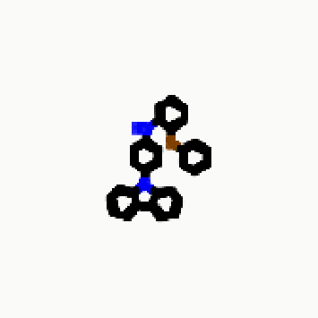 c1ccc(Sc2ccccc2Nc2ccc(-n3c4ccccc4c4ccccc43)cc2)cc1